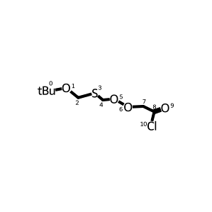 CC(C)(C)OCSCOOCC(=O)Cl